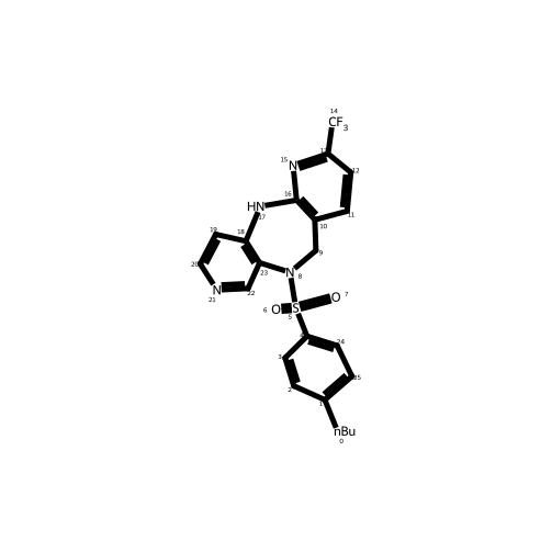 CCCCc1ccc(S(=O)(=O)N2Cc3ccc(C(F)(F)F)nc3Nc3ccncc32)cc1